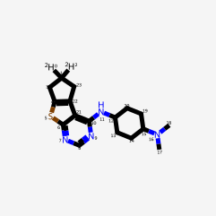 [2H]C1([2H])Cc2sc3ncnc(NC4CCC(N(C)C)CC4)c3c2C1